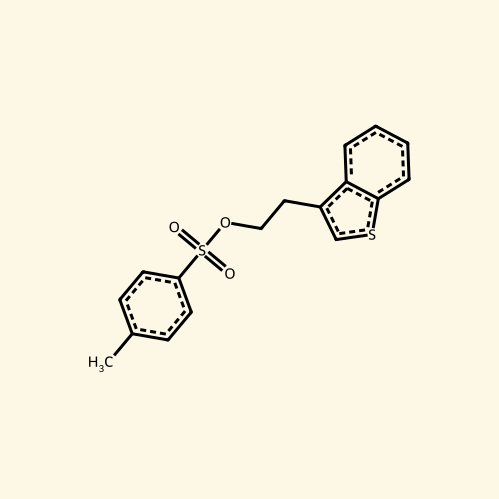 Cc1ccc(S(=O)(=O)OCCc2csc3ccccc23)cc1